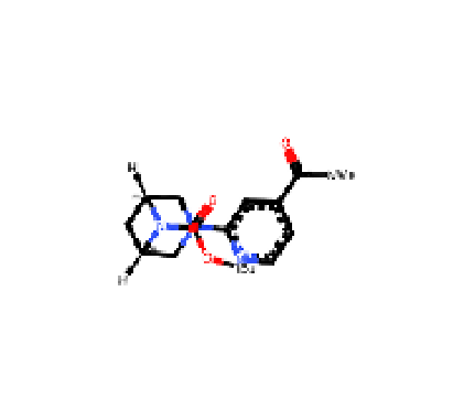 CNC(=O)c1ccnc(N2C[C@H]3C[C@@H](C2)N3C(=O)OC(C)(C)C)c1